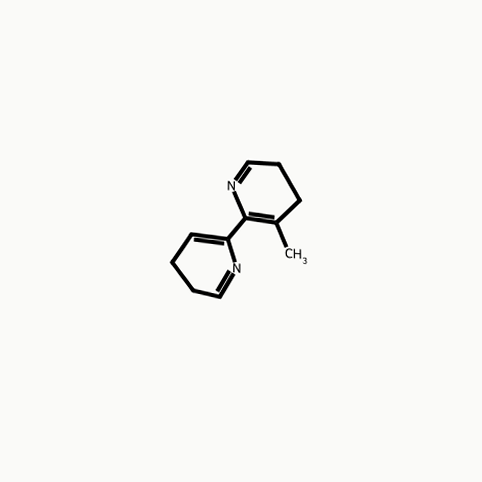 CC1=C(C2=CCCC=N2)N=CCC1